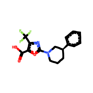 O=C(O)c1oc(N2CCC[C@H](c3ccccc3)C2)nc1C(F)(F)F